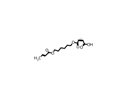 CC=CC(=O)OCCCCCCOC(=O)/C=C\C(=O)O